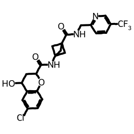 O=C(NC12CC(C(=O)NCc3ccc(C(F)(F)F)cn3)(C1)C2)C1CC(O)c2cc(Cl)ccc2O1